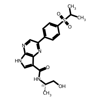 CC(C)S(=O)(=O)c1ccc(-c2cnc3[nH]cc(C(=O)N[C@@H](C)CO)c3n2)cc1